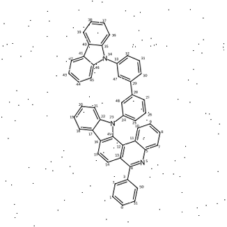 c1ccc(-c2nc3ccccc3c3c2ccc2c4ccccc4n(-c4cccc(-c5cccc(-n6c7ccccc7c7ccccc76)c5)c4)c23)cc1